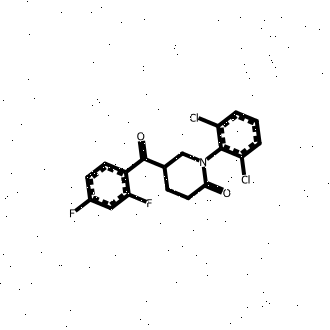 O=C(c1ccc(F)cc1F)C1CCC(=O)N(c2c(Cl)cccc2Cl)C1